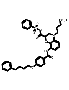 O=C(O)CCCN1CC(C(=O)NS(=O)(=O)c2ccccc2)Oc2c(NC(=O)c3ccc(OCCCCc4ccccc4)cc3)cccc21